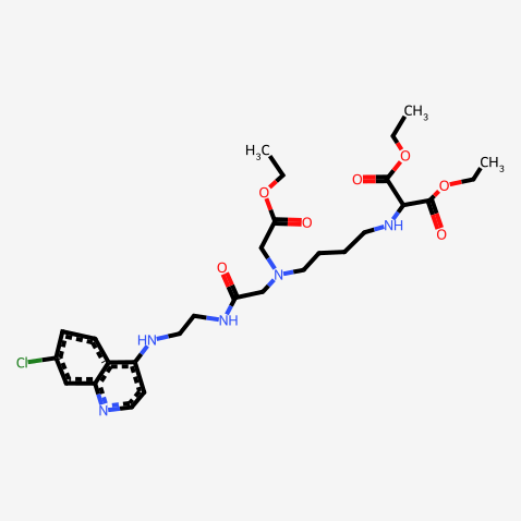 CCOC(=O)CN(CCCCNC(C(=O)OCC)C(=O)OCC)CC(=O)NCCNc1ccnc2cc(Cl)ccc12